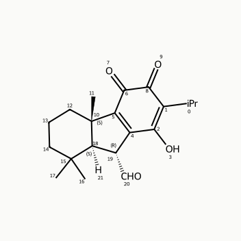 CC(C)C1=C(O)C2=C(C(=O)C1=O)[C@@]1(C)CCCC(C)(C)[C@@H]1[C@H]2C=O